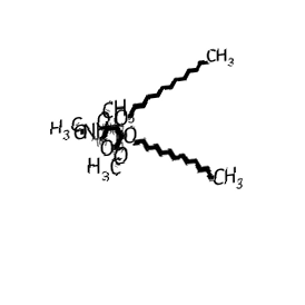 CCCCCCCCCCCCCCO[C@@H]1[C@@H](OCCCCCCCCCCCCCC)[C@@H](OC)O[C@H](CNOC)[C@H]1OC